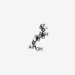 CC(=O)N(CCO)c1ccc(C)c(CCS(=O)(=O)N2CCC3(CC2)N=C(c2cccc(OC(F)(F)F)c2)NC3=O)c1